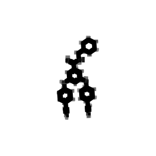 N#Cc1ccc(Oc2cc(Oc3ccc(C#N)cc3)cc(C(=O)NCC3CCCCC3)c2)cc1